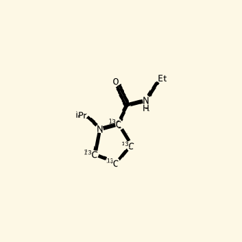 CC(C)N1[13CH2][13CH2][13CH2][13CH]1C(=O)NC[13CH3]